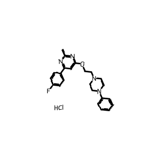 Cc1nc(OCCN2CCN(c3ccccc3)CC2)cc(-c2ccc(F)cc2)n1.Cl